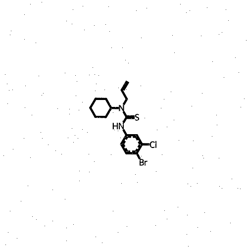 C=CCN(C(=S)Nc1ccc(Br)c(Cl)c1)C1CCCCC1